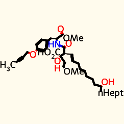 CC#CCOc1ccc(C[C@H](NC(=O)[C@@H](C=CCCCCCCC(O)CCCCCCC)[C@@](O)(CCOC)C(=O)O)C(=O)OC)cc1